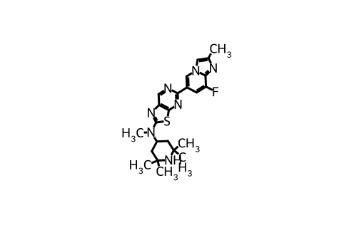 Cc1cn2cc(-c3ncc4nc(N(C)C5CC(C)(C)NC(C)(C)C5)sc4n3)cc(F)c2n1